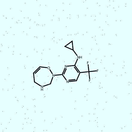 FC(F)(F)c1cnc(N2CNCC=CO2)nc1NC1CC1